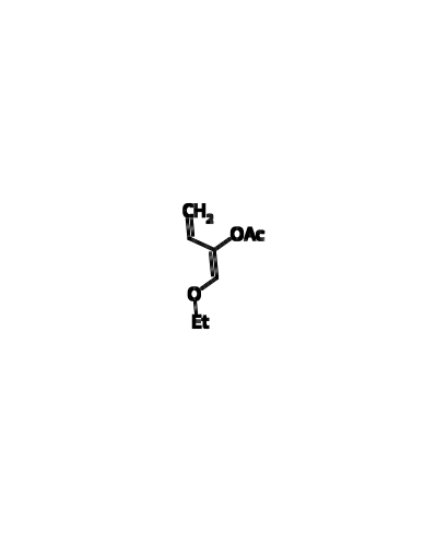 C=CC(=COCC)OC(C)=O